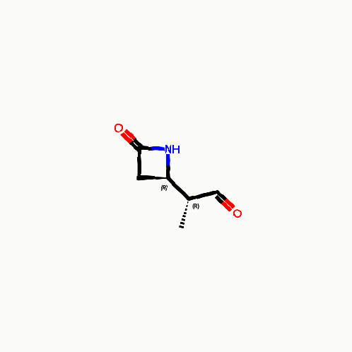 C[C@@H](C=O)[C@H]1CC(=O)N1